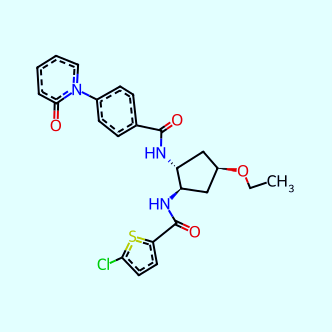 CCO[C@@H]1C[C@@H](NC(=O)c2ccc(-n3ccccc3=O)cc2)[C@H](NC(=O)c2ccc(Cl)s2)C1